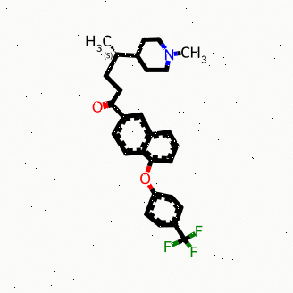 C[C@@H](CCC(=O)c1ccc2c(Oc3ccc(C(F)(F)F)cc3)cccc2c1)C1CCN(C)CC1